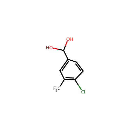 OC(O)c1ccc(Cl)c(C(F)(F)F)c1